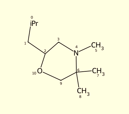 CC(C)CC1CN(C)C(C)(C)CO1